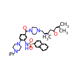 CC(C)=CC(=O)C/C(C)=C\CN1CCN(C(=O)c2ccc(N3CCN(C(C)C)CC3)c(NS(=O)(=O)c3ccc4ccccc4c3)c2)CC1